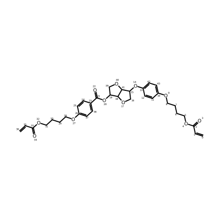 C=CC(=O)OCCCCOc1ccc(OC2COC3C(OC(=O)c4ccc(OCCCCOC(=O)C=C)cc4)COC23)cc1